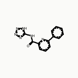 O=C(Nc1nnn[nH]1)c1cccc(-c2ccccc2)n1